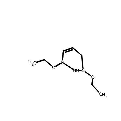 CCON1C=CCN(OCC)N1